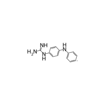 N=C(N)Nc1ccc(Nc2cc[c]cc2)cc1